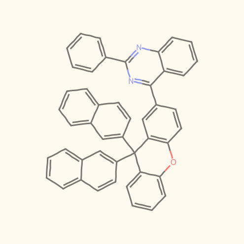 c1ccc(-c2nc(-c3ccc4c(c3)C(c3ccc5ccccc5c3)(c3ccc5ccccc5c3)c3ccccc3O4)c3ccccc3n2)cc1